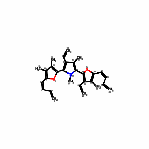 C=C/C=C\c1oc(-c2c(C=C)c(C)c(-c3oc(/C=C\C=C)c(C)c3C=C)n2C)c(C)c1C